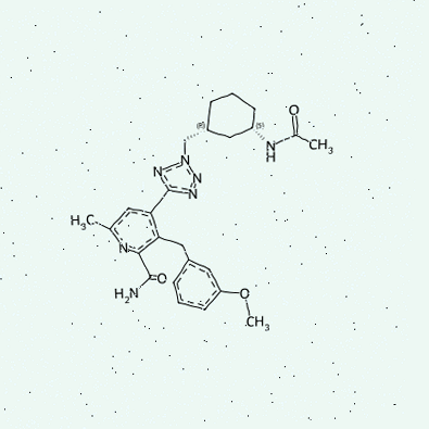 COc1cccc(Cc2c(-c3nnn(C[C@@H]4CCC[C@H](NC(C)=O)C4)n3)cc(C)nc2C(N)=O)c1